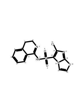 O=S(=O)(NC1=NCCc2ccccc21)c1c(Cl)nc2sccn12